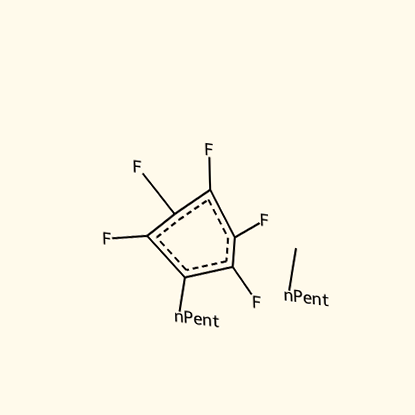 CCCCCC.CCCCCc1c(F)c(F)c(F)c(F)c1F